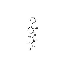 CCNC(=O)Nc1nc2c(O)c(-c3cccnc3)ccc2[nH]1